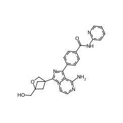 Nc1nccn2c(C34COC(CO)(C3)C4)nc(-c3ccc(C(=O)Nc4ccccn4)cc3)c12